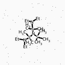 CCN(CC)S(C)(C)N(S(C)(C)C)S(C)(C)N(CC)CC